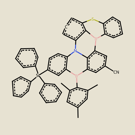 Cc1cc(C)c(B2c3cc([Si](c4ccccc4)(c4ccccc4)c4ccccc4)ccc3N3c4cccc5c4B(c4ccccc4S5)c4cc(C#N)cc2c43)c(C)c1